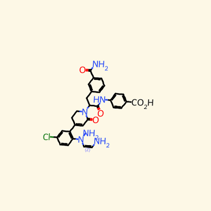 N/C=C\N(N)c1ccc(Cl)cc1C1=CC(=O)N(C(Cc2cccc(C(N)=O)c2)C(=O)Nc2ccc(C(=O)O)cc2)CC1